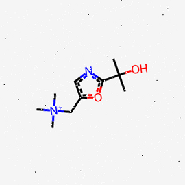 CC(C)(O)c1ncc(C[N+](C)(C)C)o1